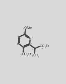 CCOC(=O)c1ccc(OC)nc1C(C)C(=O)OCC